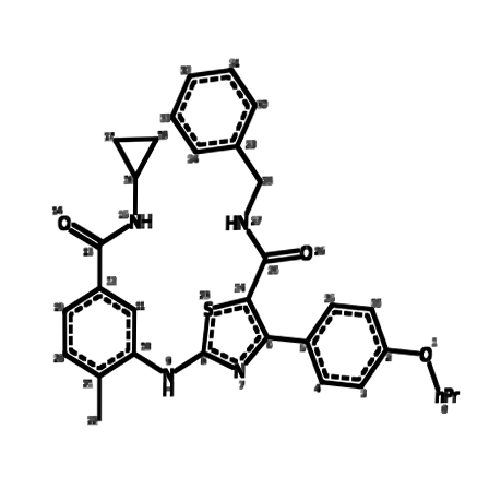 CCCOc1ccc(-c2nc(Nc3cc(C(=O)NC4CC4)ccc3C)sc2C(=O)NCc2ccccc2)cc1